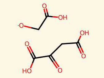 O=C(O)CC(=O)C(=O)O.[O]CC(=O)O